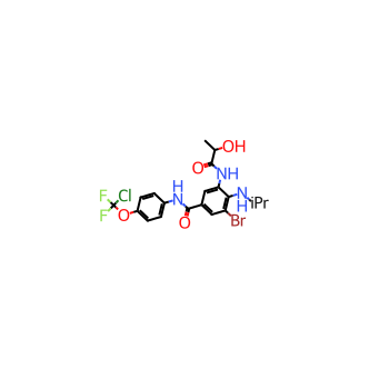 CC(C)Nc1c(Br)cc(C(=O)Nc2ccc(OC(F)(F)Cl)cc2)cc1NC(=O)C(C)O